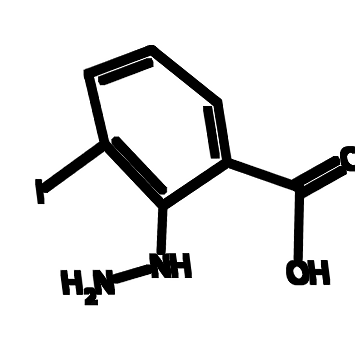 NNc1c(I)cccc1C(=O)O